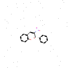 O=[N+]([O-])C1=Cc2ccccc2O[C@@H]1c1ccccc1